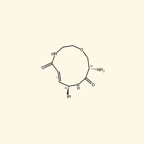 CC(C)[C@H]1/C=C/C(=O)NCCOC[C@H](N)C(=O)N1